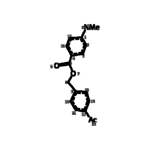 CNc1ccc(C(=O)OCc2ccc(C(C)=O)cc2)cc1